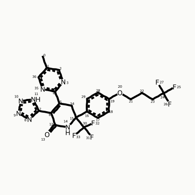 Cc1cnc(C2=C(c3nnn[nH]3)C(=O)NC(c3ccc(OCCCC(F)(F)F)cc3)(C(F)(F)F)C2)nc1